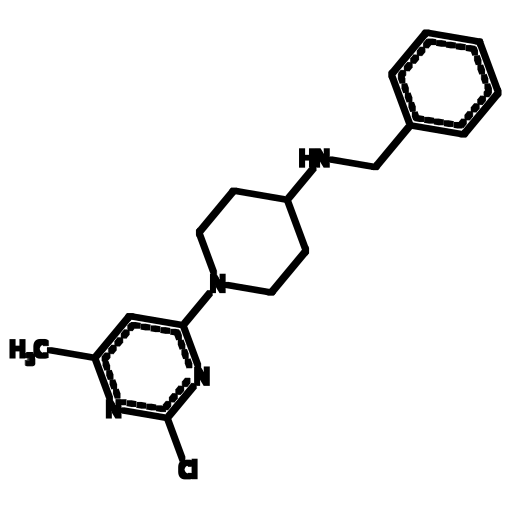 Cc1cc(N2CCC(NCc3ccccc3)CC2)nc(Cl)n1